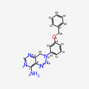 Nc1ncnc2c1N=NN(c1cccc(OCc3ccccc3)c1)C2